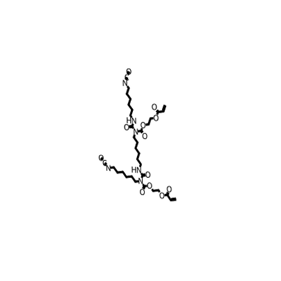 C=CC(=O)OCCOC(=O)N(CCCCCCN=C=O)C(=O)NCCCCCCN(C(=O)NCCCCCCN=C=O)C(=O)OCCOC(=O)C=C